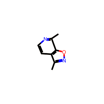 Cc1noc2c(C)nccc12